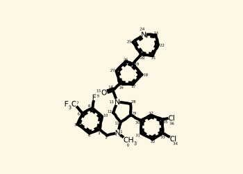 CN(Cc1ccc(C(F)(F)F)c(F)c1)C1CN(C(=O)c2ccc(-c3cccnc3)cc2)CC1c1ccc(Cl)c(Cl)c1